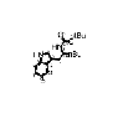 CCCCC(Cc1c[nH]c2ccc(F)cc12)NC(=O)OC(C)(C)C